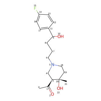 CC(=O)[C@H]1CN(CCCC(O)c2ccc(F)cc2)CC[C@]1(C)O